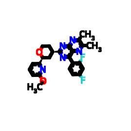 COc1cccc([C@H]2C[C@@H](c3nc(-c4ccc(F)cc4F)c4nc(C)c(C)nc4n3)CCO2)n1